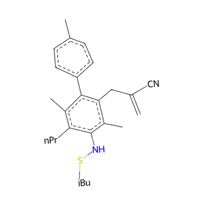 C=C(C#N)Cc1c(C)c(NSC(C)CC)c(CCC)c(C)c1-c1ccc(C)cc1